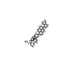 CC1(C)c2ccccc2-c2ccc3c(oc4ccc(-c5ccc6ccc7c(-c8cccc9ccccc89)ccc8ccc5c6c87)cc43)c21